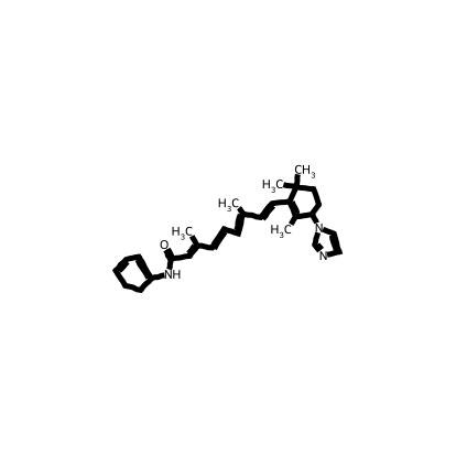 CC1=C(/C=C/C(C)=C/C=C/C(C)=C/C(=O)NC2=CC=CCC2)C(C)(C)CCC1n1ccnc1